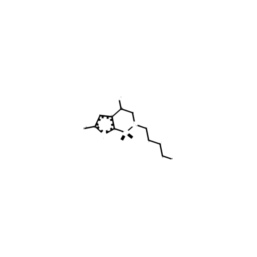 O=S1(=O)c2sc(Cl)cc2C(O)CN1CCCCBr